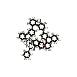 O=P1(c2nc(-c3ccccc3)nc(-c3ccccc3)n2)c2ccccc2-c2cc(-c3cccc4oc5ccc(-c6ccc7c8ccccc8c8ccccc8c7c6)cc5c34)ccc2N1c1ccccc1